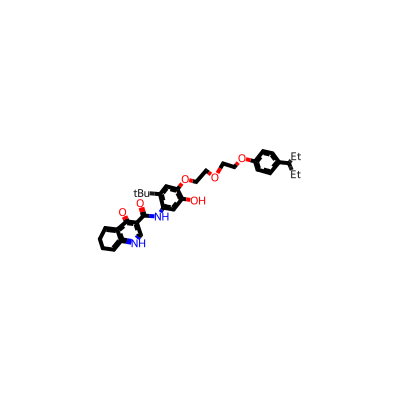 CCC(CC)c1ccc(OCCOCCOc2cc(C(C)(C)C)c(NC(=O)c3c[nH]c4c(c3=O)=CCCC=4)cc2O)cc1